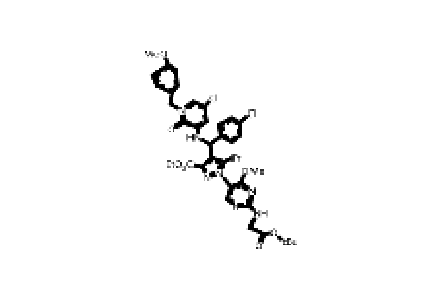 CCOC(=O)c1nn(-c2cnc(NCC(=O)OC(C)(C)C)nc2OC)c(C(C)C)c1C(Nc1cc(Cl)cn(Cc2ccc(OC)cc2)c1=O)c1ccc(Cl)cc1